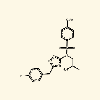 COc1ccc(S(=O)(=O)N(CC(C)N)c2nc(Cc3ccc(F)cc3)ns2)cc1